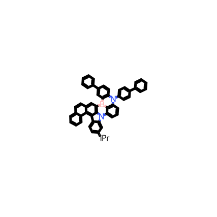 CC(C)c1ccc2c3c4c(ccc5ccccc54)cc4c3n(c2c1)-c1cccc2c1B4c1cc(-c3ccccc3)ccc1N2c1ccc(-c2ccccc2)cc1